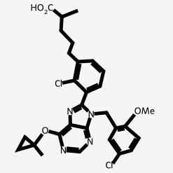 COc1ccc(Cl)cc1Cn1c(-c2cccc(CCCC(C)C(=O)O)c2Cl)nc2c(OC3(C)CC3)ncnc21